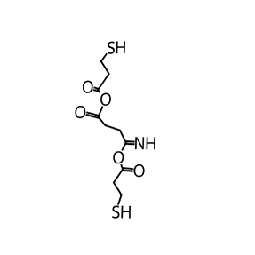 N=C(CCC(=O)OC(=O)CCS)OC(=O)CCS